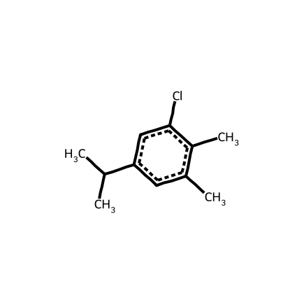 Cc1cc(C(C)C)cc(Cl)c1C